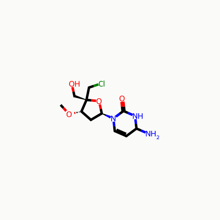 CO[C@H]1C[C@H](N2C=CC(N)NC2=O)O[C@@]1(CO)CCl